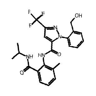 Cc1cccc(C(=O)NC(C)C)c1NC(=O)c1cc(C(F)(F)F)nn1-c1ccccc1CO